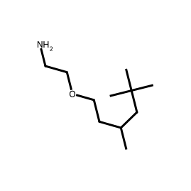 CC(CCOCCN)CC(C)(C)C